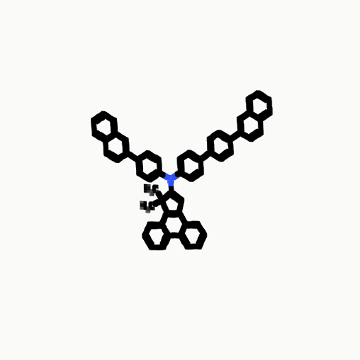 CC1(C)C(N(c2ccc(-c3ccc(-c4ccc5ccccc5c4)cc3)cc2)c2ccc(-c3ccc4ccccc4c3)cc2)=Cc2c1c1ccccc1c1ccccc21